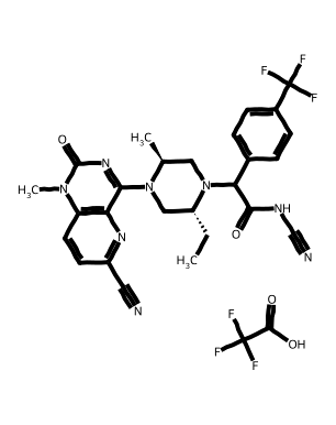 CC[C@@H]1CN(c2nc(=O)n(C)c3ccc(C#N)nc23)[C@@H](C)CN1C(C(=O)NC#N)c1ccc(C(F)(F)F)cc1.O=C(O)C(F)(F)F